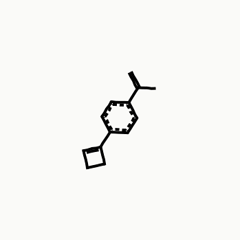 C=C(C)c1ccc(C2=CCC2)cc1